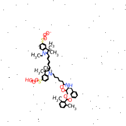 CC[N+]1=C(/C=C/C=C/C=C2/N(CCCCCC(=O)N[C@@H](Cc3ccccc3)C(=O)COC(=O)c3c(C)cccc3C)c3ccc(SOOO)cc3C2(C)C)C(C)(C)c2cc(SOO[O-])ccc21